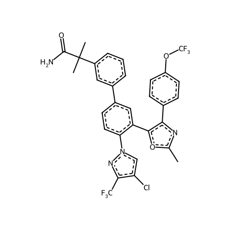 Cc1nc(-c2ccc(OC(F)(F)F)cc2)c(-c2cc(-c3cccc(C(C)(C)C(N)=O)c3)ccc2-n2cc(Cl)c(C(F)(F)F)n2)o1